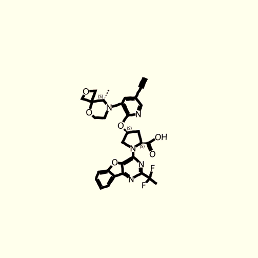 C#Cc1cnc(O[C@H]2C[C@@H](C(=O)O)N(c3nc(C(C)(F)F)nc4c3oc3ccccc34)C2)c(N2CCOC3(COC3)[C@@H]2C)c1